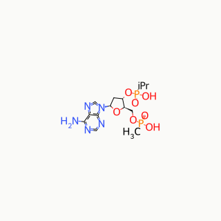 CC(C)P(=O)(O)O[C@H]1C[C@H](n2cnc3c(N)ncnc32)O[C@@H]1COP(C)(=O)O